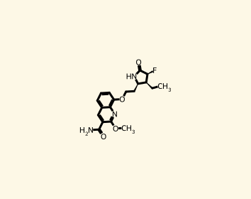 CC[C@@H]1[C@H](F)C(=O)N[C@@H]1CCOc1cccc2cc(C(N)=O)c(OC)nc12